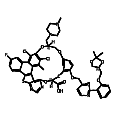 Cc1c(Cl)c2c(Cl)c3c4cc(F)ccc4c4sc5ncnc(c5c4c13)O[C@@H](C(=O)O)Cc1cc(ccc1OCc1ccnc(-c3ccccc3OC[C@H]3COC(C)(C)O3)n1)OC[C@@H](CN1CCN(C)CC1)O2